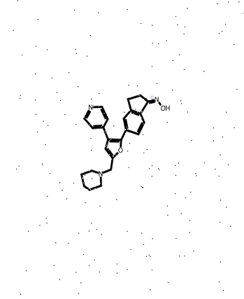 O/N=C1/CCc2cc(-c3oc(CN4CCCCC4)cc3-c3ccncc3)ccc21